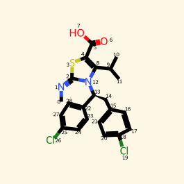 C/N=c1/sc(C(=O)O)c(C(C)C)n1[C@@H](Cc1ccc(Cl)cc1)c1ccc(Cl)cc1